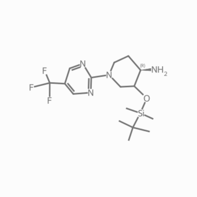 CC(C)(C)[Si](C)(C)OC1CN(c2ncc(C(F)(F)F)cn2)CC[C@H]1N